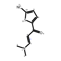 CN(C)/C=C/C(=O)c1ccc(C#N)s1